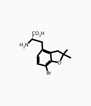 CC1(C)Cc2c(C[C@H](N)C(=O)O)ccc(Br)c2O1